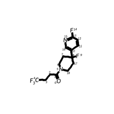 O=C(CCC(F)(F)F)N1CCC(F)(c2ccc(F)nc2)CC1